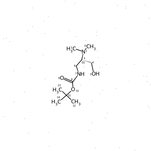 CN(C)[C@H](CO)CNC(=O)OC(C)(C)C